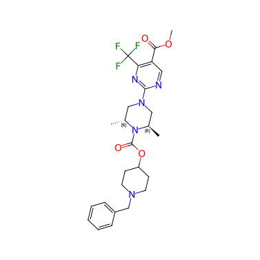 COC(=O)c1cnc(N2C[C@@H](C)N(C(=O)OC3CCN(Cc4ccccc4)CC3)[C@H](C)C2)nc1C(F)(F)F